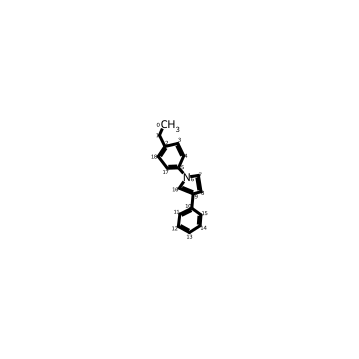 CCc1ccc(-n2ccc(-c3ccccc3)c2)cc1